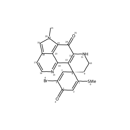 CSC1=CC(=O)C(Br)=C[C@]12CCNC1=C2c2nccc3cn(C)c(c23)C1=O